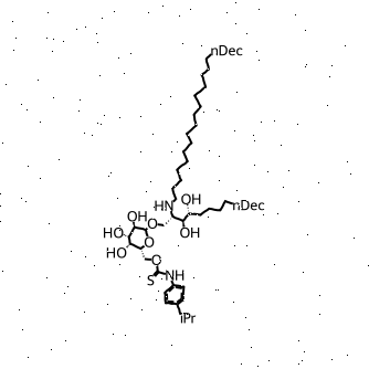 CCCCCCCCCCCCCCCCCCCCCCCCCCN[C@@H](CO[C@H]1O[C@H](COC(=S)Nc2ccc(C(C)C)cc2)[C@H](O)[C@H](O)[C@H]1O)[C@H](O)[C@H](O)CCCCCCCCCCCCCC